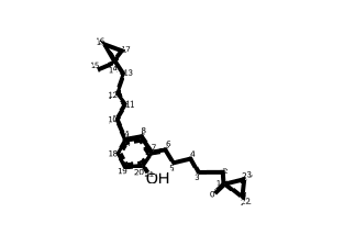 CC1(CCCCCc2cc(CCCCC3(C)CC3)ccc2O)CC1